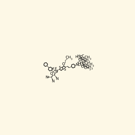 CCCCOc1c(/C=C/c2ccc(N(CCO[Si](C)(C)C(C)(C)C)CCO[Si](C)(C)C(C)(C)C)cc2)sc2cc(/C=C/C3=C(C#N)C(=C(C#N)C#N)OC3(c3ccc(-c4ccccc4)cc3)C(F)(F)F)sc12